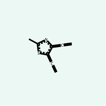 C=C=c1nc(C)sc1=C=C